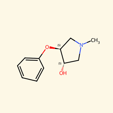 CN1C[C@H](Oc2ccccc2)[C@@H](O)C1